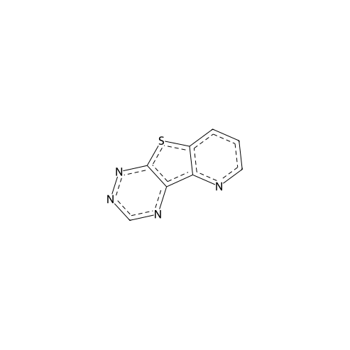 c1cnc2c(c1)sc1nncnc12